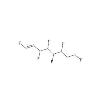 FC=CC(F)C(F)C(F)C(F)CCF